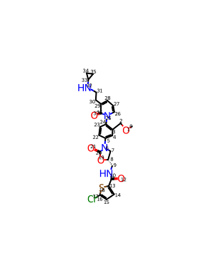 COCc1cc(N2C[C@H](CNC(=O)c3ccc(Cl)s3)OC2=O)ccc1-n1cccc(CCNC2CC2)c1=O